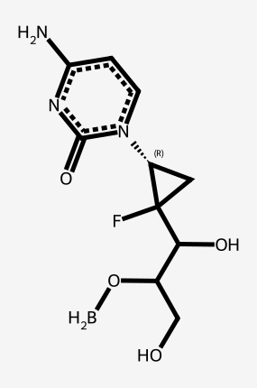 BOC(CO)C(O)C1(F)C[C@H]1n1ccc(N)nc1=O